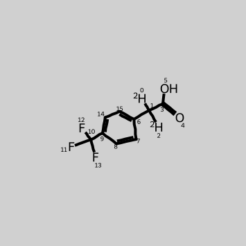 [2H]C([2H])(C(=O)O)c1ccc(C(F)(F)F)cc1